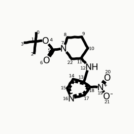 CC(C)(C)OC(=O)N1CCCC(Nc2ccncc2[N+](=O)[O-])C1